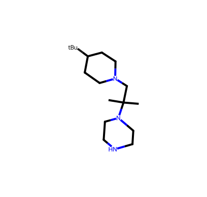 CC(C)(C)C1CCN(CC(C)(C)N2CCNCC2)CC1